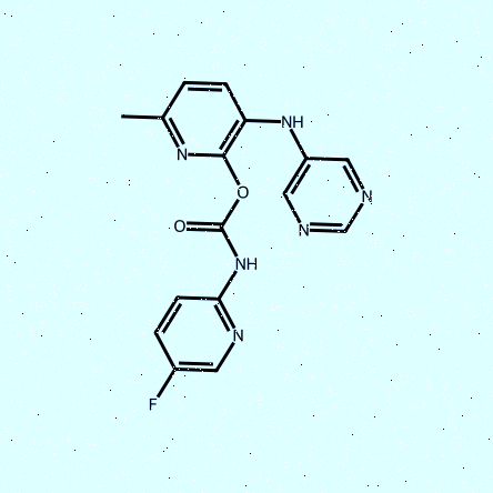 Cc1ccc(Nc2cncnc2)c(OC(=O)Nc2ccc(F)cn2)n1